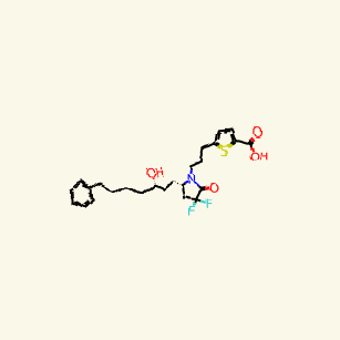 O=C(O)c1ccc(CCCN2C(=O)C(F)(F)C[C@@H]2CC[C@@H](O)CCCCc2ccccc2)s1